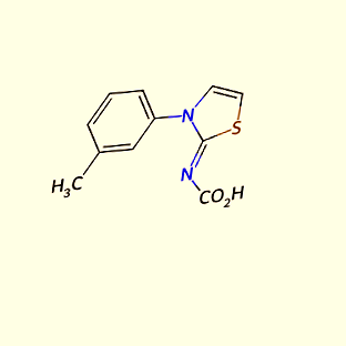 Cc1cccc(-n2ccsc2=NC(=O)O)c1